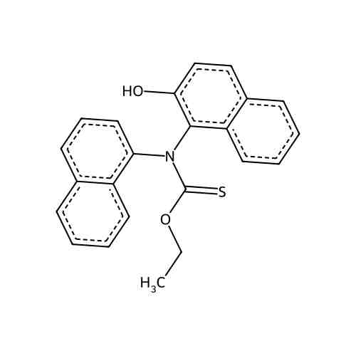 CCOC(=S)N(c1cccc2ccccc12)c1c(O)ccc2ccccc12